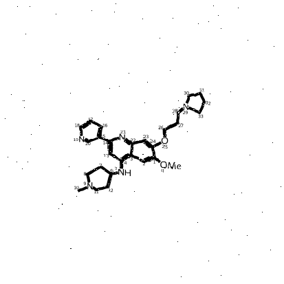 COc1cc2c(NC3CCN(C)CC3)cc(-c3cccnc3)nc2cc1OCCCN1CCCC1